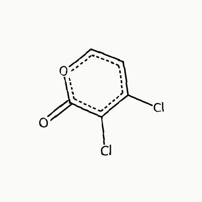 O=c1occc(Cl)c1Cl